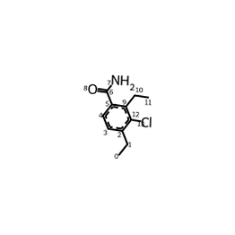 CCc1ccc(C(N)=O)c(CC)c1Cl